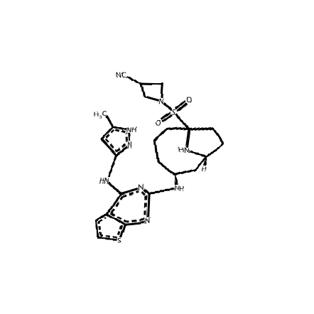 Cc1cc(Nc2nc(N[C@H]3CCCC4(S(=O)(=O)N5CC(C#N)C5)CC[C@H](C3)N4)nc3sccc23)n[nH]1